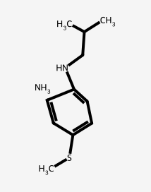 CSc1ccc(NCC(C)C)cc1.N